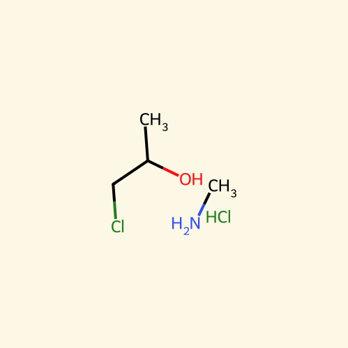 CC(O)CCl.CN.Cl